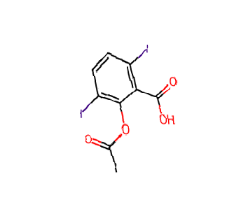 CC(=O)Oc1c(I)ccc(I)c1C(=O)O